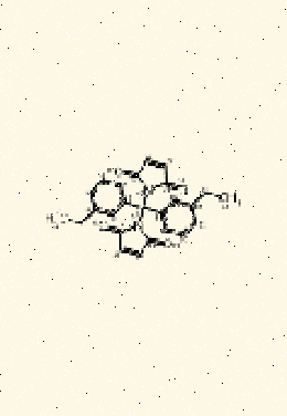 CCc1cccc(C(c2cccc(CC)c2)(N2C(=O)C=CC2=O)N2C(=O)C=CC2=O)c1